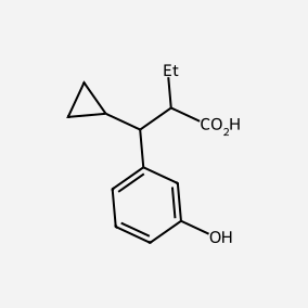 CCC(C(=O)O)C(c1cccc(O)c1)C1CC1